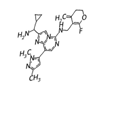 C=C1CCOC(F)=C1CNc1ncc(-c2cc(C)nn2C)c2nc(C(N)C3CC3)cn12